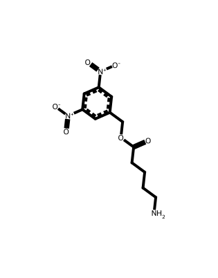 NCCCCC(=O)OCc1cc([N+](=O)[O-])cc([N+](=O)[O-])c1